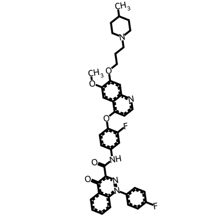 COc1cc2c(Oc3ccc(NC(=O)c4nn(-c5ccc(F)cc5)c5ccccc5c4=O)cc3F)ccnc2cc1OCCCN1CCC(C)CC1